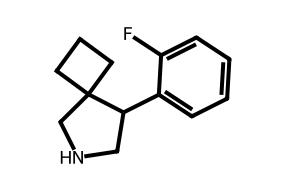 Fc1ccccc1C1CNCC12CCC2